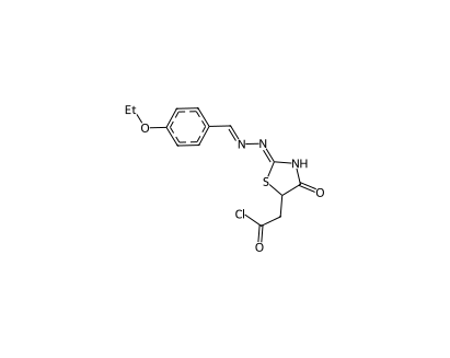 CCOc1ccc(C=NN=C2NC(=O)C(CC(=O)Cl)S2)cc1